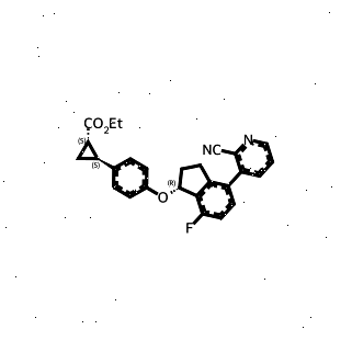 CCOC(=O)[C@H]1C[C@@H]1c1ccc(O[C@@H]2CCc3c(-c4cccnc4C#N)ccc(F)c32)cc1